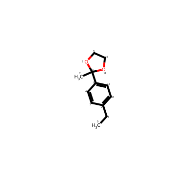 CCc1ccc(C2(C)OCCO2)cc1